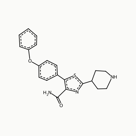 NC(=O)c1nc(C2CCNCC2)sc1-c1ccc(Oc2ccccc2)cc1